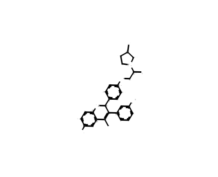 CC1=C(c2cccc(O)c2)C(c2ccc(OCC(C)N3CCC(C)C3)cc2)Nc2ccc(O)cc21